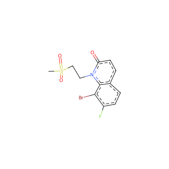 CS(=O)(=O)CCn1c(=O)ccc2ccc(F)c(Br)c21